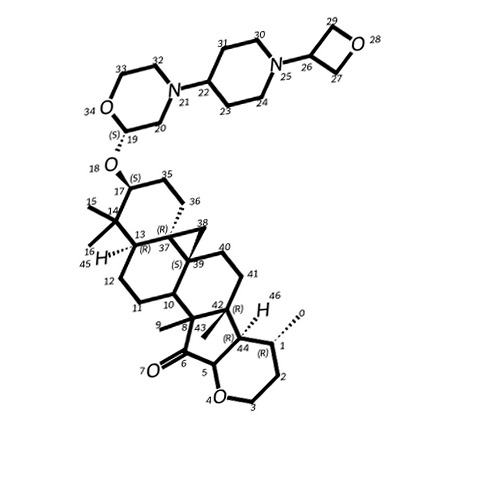 C[C@@H]1CCOC2C(=O)C3(C)C4CC[C@H]5C(C)(C)[C@@H](O[C@H]6CN(C7CCN(C8COC8)CC7)CCO6)CC[C@@]56C[C@@]46CC[C@]3(C)[C@H]21